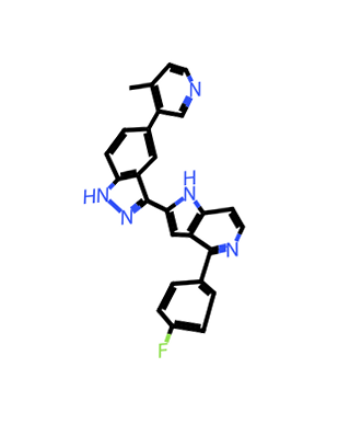 Cc1ccncc1-c1ccc2[nH]nc(-c3cc4c(-c5ccc(F)cc5)nccc4[nH]3)c2c1